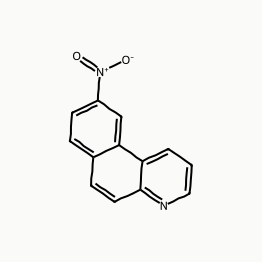 O=[N+]([O-])c1ccc2ccc3ncccc3c2c1